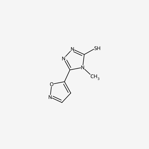 Cn1c(S)nnc1-c1ccno1